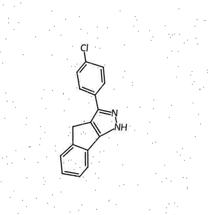 Clc1ccc(-c2n[nH]c3c2Cc2ccccc2-3)cc1